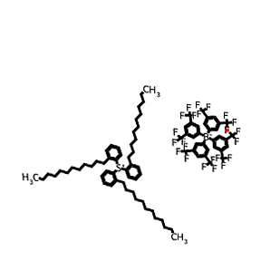 CCCCCCCCCCCCc1ccccc1[S+](c1ccccc1CCCCCCCCCCCC)c1ccccc1CCCCCCCCCCCC.FC(F)(F)c1cc([B-](c2cc(C(F)(F)F)cc(C(F)(F)F)c2)(c2cc(C(F)(F)F)cc(C(F)(F)F)c2)c2cc(C(F)(F)F)cc(C(F)(F)F)c2)cc(C(F)(F)F)c1